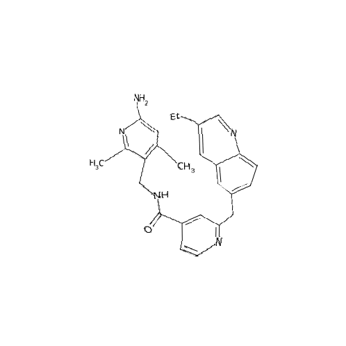 CCc1cnc2ccc(Cc3cc(C(=O)NCc4c(C)cc(N)nc4C)ccn3)cc2c1